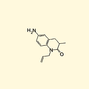 C=CCN1C(=O)C(C)Cc2cc(N)ccc21